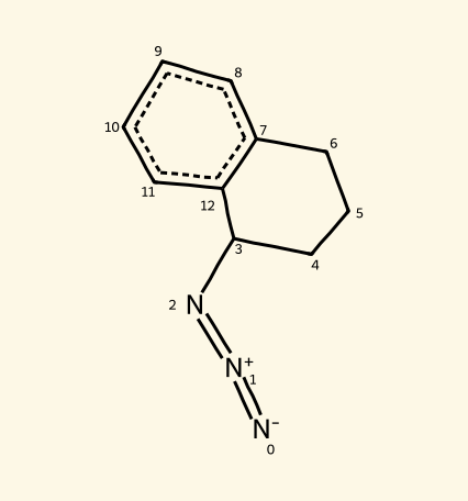 [N-]=[N+]=NC1CCCc2ccccc21